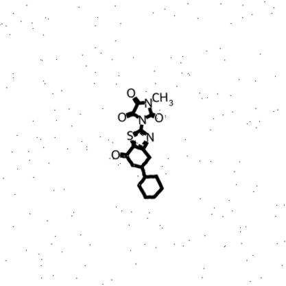 CN1C(=O)C(=O)N(c2nc3c(s2)C(=O)CC(C2CCCCC2)C3)C1=O